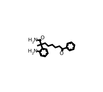 CC(CCCCCC(=O)c1ccccc1)(C(N)=O)c1ccccc1N